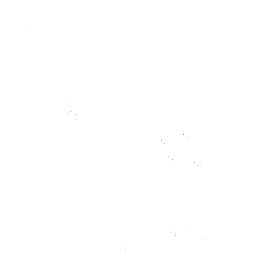 CCOc1cc(C(=O)N2CC(O)C2)ccc1Nc1nc2ccc(-c3ccc(NC(=O)Cc4ccc(F)cc4)cc3)cn2n1